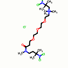 CN(CCC(C)(C)N(Cl)Cl)C(=O)CCOCCOCCOCC[N+](C)(C)CC(C)(C)N(Cl)Cl.[Cl-]